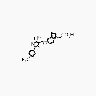 CCCc1nc(-c2ccc(C(F)(F)F)cc2)sc1COc1ccc2c(ccn2CC(=O)O)c1